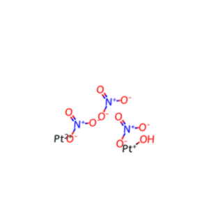 O=[N+]([O-])[O-].O=[N+]([O-])[O-].O=[N+]([O-])[O-].[OH][Pt+].[Pt+2]